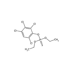 CCOP(=S)(OCC)Oc1c(Cl)cc(Cl)c(Cl)c1Cl